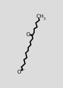 CCCCCCC(=O)CCCCCCCCCC[C]=O